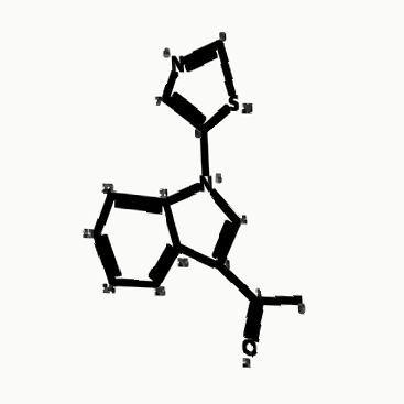 CC(=O)c1cn(-c2cncs2)c2ccccc12